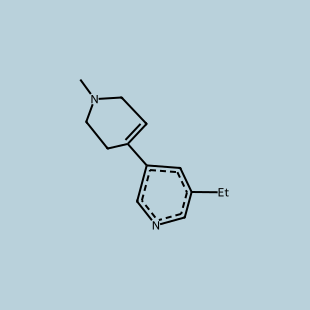 CCc1cncc(C2=CCN(C)CC2)c1